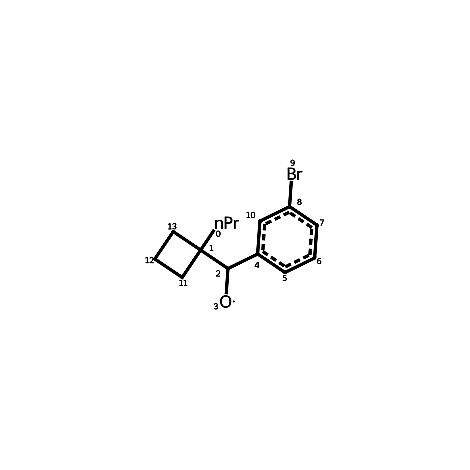 CCCC1(C([O])c2cccc(Br)c2)CCC1